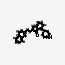 O=C1c2c(N3CCNCC3)ccnc2CN1CCc1ccc2ccccc2n1